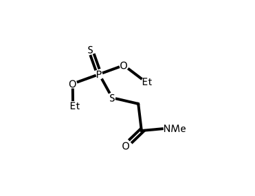 CCOP(=S)(OCC)SCC(=O)NC